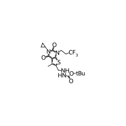 Cc1c(CNNC(=O)OC(C)(C)C)sc2c1c(=O)n(C1CC1)c(=O)n2CCC(F)(F)F